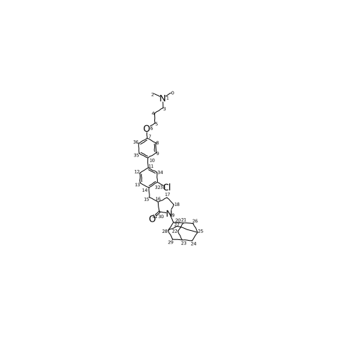 CN(C)CCCOc1ccc(-c2ccc(CC3CCN(C4C5CC6CC(C5)CC4C6)C3=O)c(Cl)c2)cc1